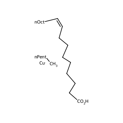 CCCCCC.CCCCCCCC/C=C\CCCCCCCC(=O)O.[Cu]